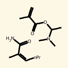 C=C(C)C(=O)OC(C)N(C)C.CCCC=C(C)C(N)=O